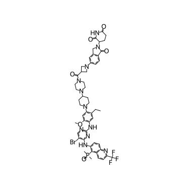 CCc1cc(Nc2ncc(Br)c(Nc3ccc4nc(C(F)(F)F)ccc4c3P(C)(C)=O)n2)c(OC)cc1N1CCC(N2CCN(C(=O)C3CN(c4ccc5c(c4)CN(C4CCC(=O)NC4=O)C5=O)C3)CC2)CC1